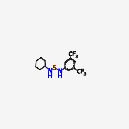 FC(F)(F)c1cc(NSNC2CCCCC2)cc(C(F)(F)F)c1